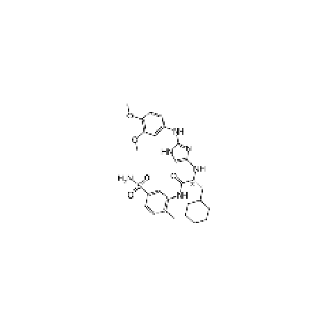 COc1ccc(Nc2nc(N[C@H](CC3CCCCC3)C(=O)Nc3cc(S(N)(=O)=O)ccc3C)c[nH]2)cc1OC